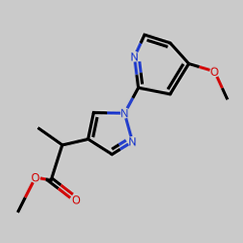 COC(=O)C(C)c1cnn(-c2cc(OC)ccn2)c1